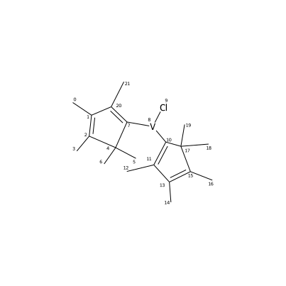 CC1=C(C)C(C)(C)[C]([V]([Cl])[C]2=C(C)C(C)=C(C)C2(C)C)=C1C